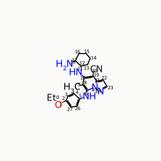 CCOc1ccc(Nc2c(C)c(N[C@H]3CCCC[C@@H]3N)c(C#N)c3ccnn23)cc1